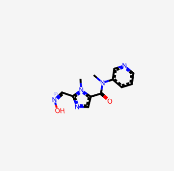 CN(C(=O)c1cnc(/C=N\O)n1C)c1cccnc1